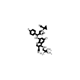 CC(C)(C)CNc1c(C#N)cnc2c(N[C@@H](c3ccc(F)cc3)c3cn(C4(C#N)CC4)nn3)cc(Cl)cc12